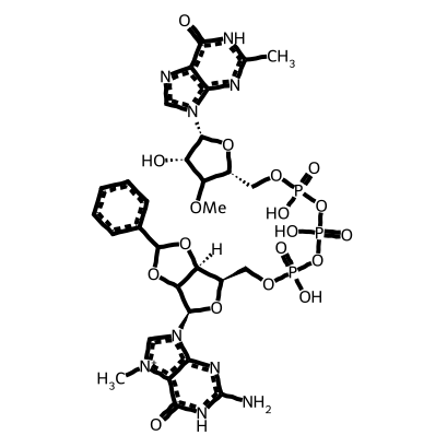 COC1[C@@H](COP(=O)(O)OP(=O)(O)OP(=O)(O)OC[C@H]2O[C@@H](n3c[n+](C)c4c(=O)[nH]c(N)nc43)C3OC(c4ccccc4)O[C@H]32)O[C@@H](n2cnc3c(=O)[nH]c(C)nc32)[C@H]1O